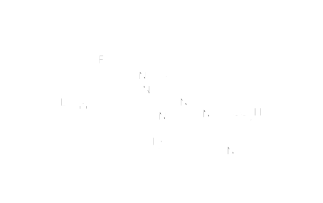 CCOc1cc(F)c(Cn2nc(-c3nc(C)cc(Nc4ccncc4C(=O)O)n3)c3ccccc32)c(F)c1